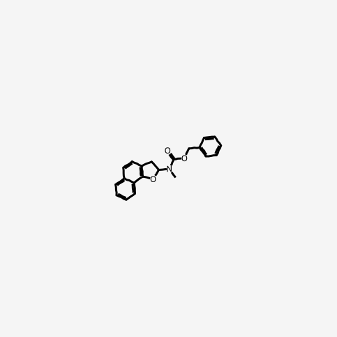 CN(C(=O)OCc1ccccc1)C1Cc2ccc3ccccc3c2O1